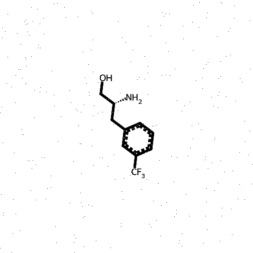 N[C@@H](CO)Cc1cccc(C(F)(F)F)c1